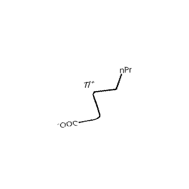 CCCCCCC(=O)[O-].[Tl+]